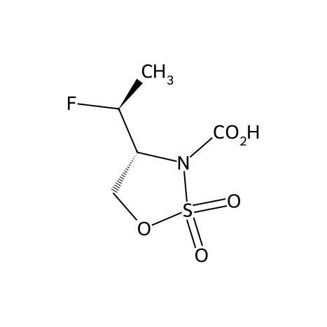 C[C@H](F)[C@H]1COS(=O)(=O)N1C(=O)O